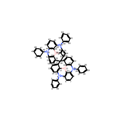 c1ccc(N2c3cccc4c3B3c5c2cccc5C2(c5cccc(c53)N4c3ccccc3)c3cccc4c3B3c5c(cccc5N(c5ccccc5)c5cccc2c53)N4c2ccccc2)cc1